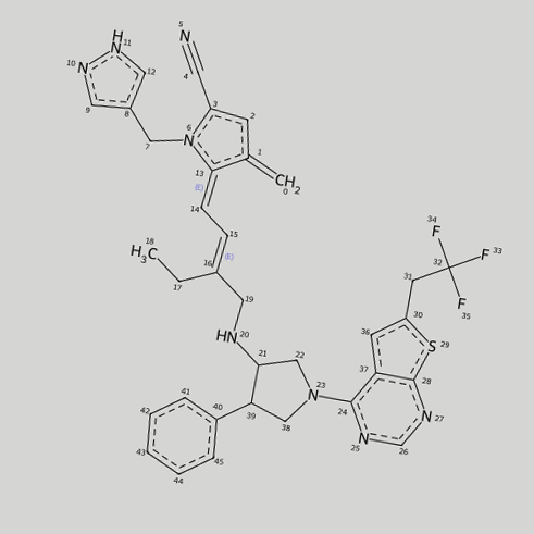 C=c1cc(C#N)n(Cc2cn[nH]c2)/c1=C/C=C(\CC)CNC1CN(c2ncnc3sc(CC(F)(F)F)cc23)CC1c1ccccc1